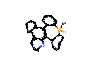 CC(C)(C)P1(=S)c2ccccc2-c2c(c3ncccc3c3ccccc23)-c2ccccc21